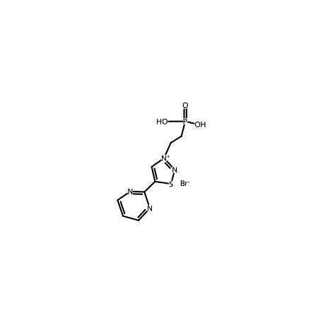 O=P(O)(O)CC[n+]1cc(-c2ncccn2)sn1.[Br-]